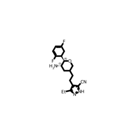 CCc1n[nH]c(C#N)c1CCC1CO[C@H](C2CC(F)=CC=C2F)[C@@H](N)C1